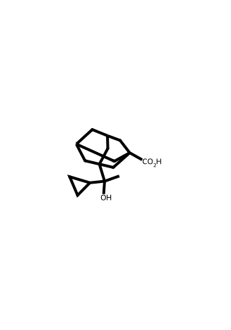 CC(O)(C1CC1)C12CC3CC(CC(C(=O)O)(C3)C1)C2